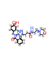 O=C(CCc1nnc2n(Cc3ccc(O)cc3)c(=O)c3ccccc3n12)NCCN1CCOCC1